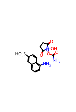 NC(=O)O[N+]1(O)C(=O)CCC1=O.Nc1cccc2cc(S(=O)(=O)O)ccc12